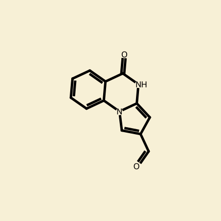 O=Cc1cc2[nH]c(=O)c3ccccc3n2c1